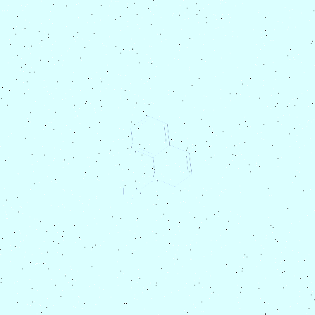 NN1CC=Cc2cccnc21